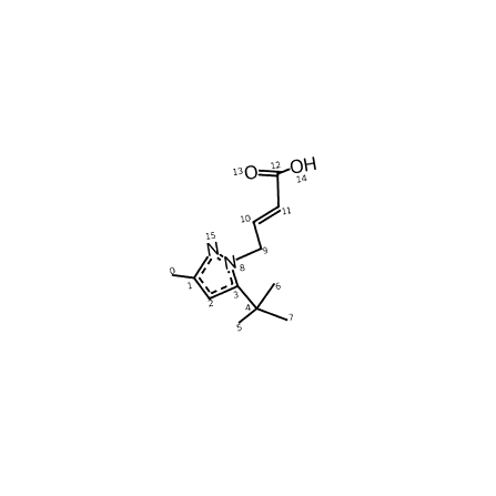 Cc1cc(C(C)(C)C)n(C/C=C/C(=O)O)n1